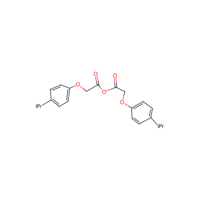 CC(C)c1ccc(OCC(=O)OC(=O)COc2ccc(C(C)C)cc2)cc1